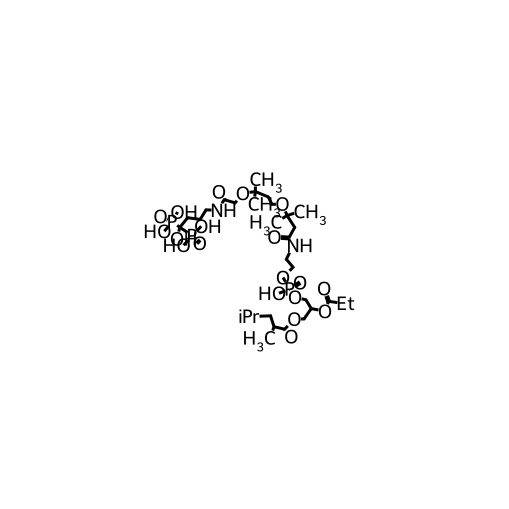 CCC(=O)OC(COC(=O)C(C)CC(C)C)COP(=O)(O)OCCNC(=O)CC(C)(C)OCCC(C)(C)OCC(=O)NCCCC(O)(P(=O)(O)O)P(=O)(O)O